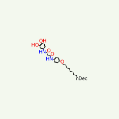 CCCCCCCCCCCCCCCCCCOc1ccc(NC(=O)CC(=O)Nc2ccc(O)c(O)c2)cc1